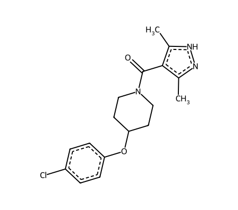 Cc1n[nH]c(C)c1C(=O)N1CCC(Oc2ccc(Cl)cc2)CC1